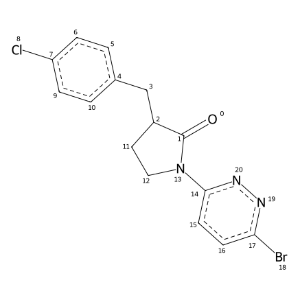 O=C1C(Cc2ccc(Cl)cc2)CCN1c1ccc(Br)nn1